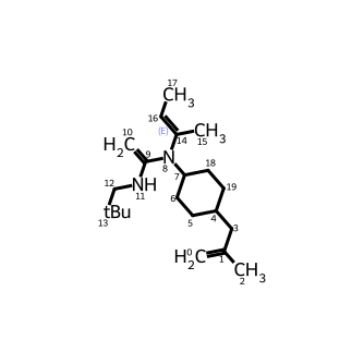 C=C(C)CC1CCC(N(C(=C)NCC(C)(C)C)/C(C)=C/C)CC1